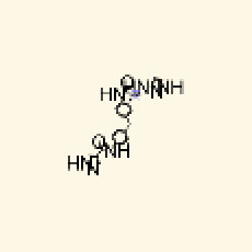 O=C1Nc2ccc(Cc3ccc(NC(=O)c4cn[nH]c4)cc3)cc2/C1=C/Nc1cc[nH]n1